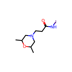 CC1CN(CCC(=O)NI)CC(C)O1